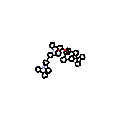 c1ccc(-c2ccccc2-c2ccc(C3(c4cccc(-c5ccc(-c6ccc(-c7ccccc7-n7c8ccccc8c8cc(-c9ccc%10c(c9)c9ccccc9n%10-c9ccccc9-c9ccccc9)ccc87)cc6)cc5)c4)c4ccccc4-c4ccccc43)cc2)cc1